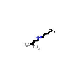 CCCCNCC=C(C)C